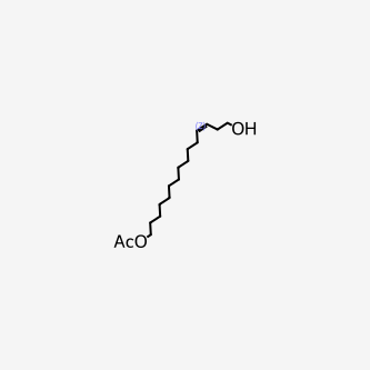 CC(=O)OCCCCCCCCCCC/C=C\CCO